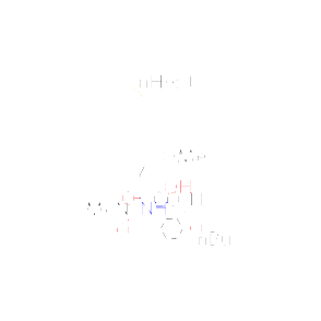 CCCCCCCSCCCCCCC=C[C@H](C(=O)N[C@@H](Cc1ccc(OCCCC)cc1)C(=O)NC)[C@@](O)(CCOC)C(=O)O